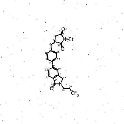 CCN1C(=O)CN(Cc2ccc(-c3ccc4c(c3)CN(CCC(F)(F)F)C4=O)cc2)C1=O